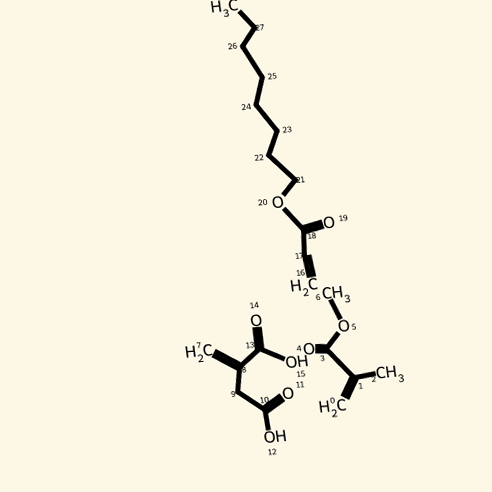 C=C(C)C(=O)OC.C=C(CC(=O)O)C(=O)O.C=CC(=O)OCCCCCCCC